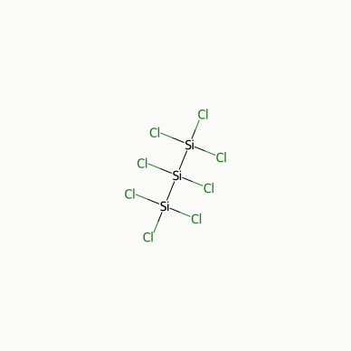 Cl[Si](Cl)(Cl)[Si](Cl)(Cl)[Si](Cl)(Cl)Cl